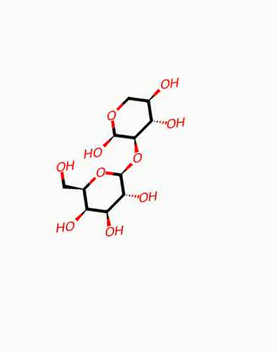 OC[C@H]1O[C@@H](O[C@@H]2[C@@H](O)[C@H](O)CO[C@@H]2O)[C@H](O)[C@@H](O)[C@H]1O